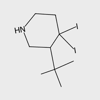 CC(C)(C)C1CNCCC1(I)I